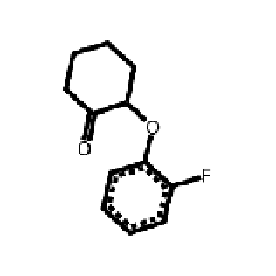 O=C1CCCCC1Oc1ccccc1F